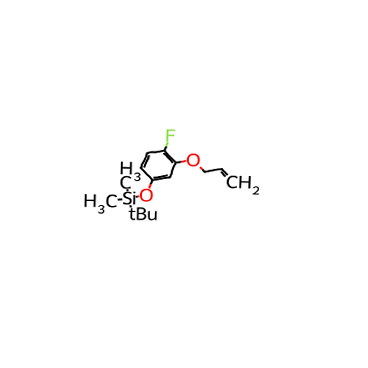 C=CCOc1cc(O[Si](C)(C)C(C)(C)C)ccc1F